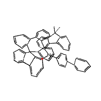 CC1(C)c2ccccc2-c2c(N(c3ccc(-c4ccccc4)cc3)c3cccc4c3C3(c5ccccc5-c5ccccc5-c5ccccc53)c3ccccc3-4)cccc21